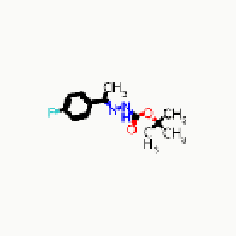 C/C(=N\NC(=O)OC(C)(C)C)c1ccc(F)cc1